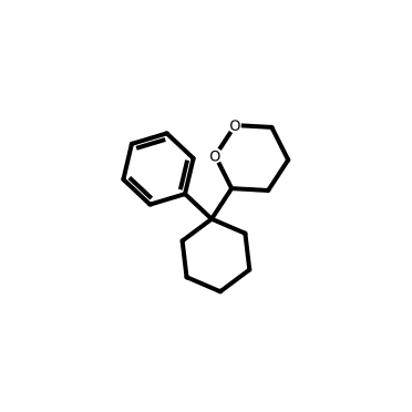 c1ccc(C2(C3CCCOO3)CCCCC2)cc1